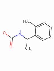 Cc1ccccc1C(C)NC([O])=O